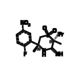 CC(C)[C@]1(C)C(=N)N[C@](C)(c2cc([N+](=O)[O-])ccc2F)CS1(=O)=O